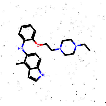 CCN1CCN(CCOc2ccccc2Nc2ccc3[nH]ccc3c2C)CC1